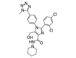 Cn1nnnc1-c1ccc(-n2c(-c3ccc(Cl)cc3Cl)nc(C(=O)NN3CCCCC3)c2CO)cc1